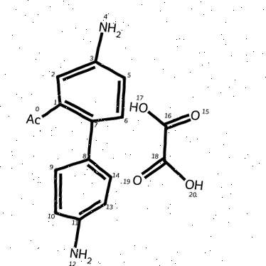 CC(=O)c1cc(N)ccc1-c1ccc(N)cc1.O=C(O)C(=O)O